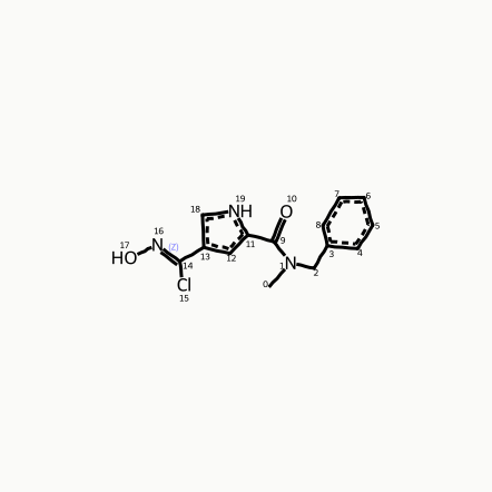 CN(Cc1ccccc1)C(=O)c1cc(/C(Cl)=N/O)c[nH]1